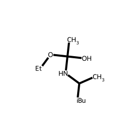 CCOC(C)(O)NC(C)C(C)CC